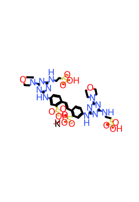 O=S(=O)(O)CCNc1nc(Nc2ccc(C=Cc3ccc(Nc4nc(NCCS(=O)(=O)O)nc(N5CCOCC5)n4)cc3S(=O)(=O)O)c(S(=O)(=O)O)c2)nc(N2CCOCC2)n1.[K]